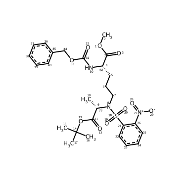 COC(=O)[C@H](CCCN([C@@H](C)C(=O)OC(C)(C)C)S(=O)(=O)c1ccccc1[N+](=O)[O-])NC(=O)OCc1ccccc1